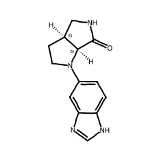 O=C1NC[C@@H]2CCN(c3ccc4[nH]cnc4c3)[C@H]12